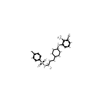 Cc1ccc(S(=O)(=O)O[C@@H](C)CCC2CCC(Oc3cccc(Br)c3C(F)(F)F)CC2)cc1